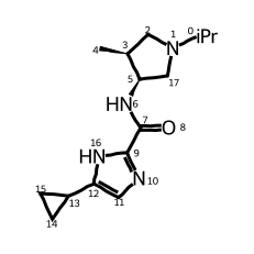 CC(C)N1C[C@H](C)[C@H](NC(=O)c2ncc(C3CC3)[nH]2)C1